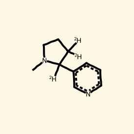 [2H]C1([2H])CCN(C)C1([2H])c1cccnc1